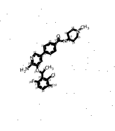 CC(Oc1cc(-c2ccc(C(=O)NC3CCN(C)CC3)cc2)cnc1N)c1c(F)ccc(F)c1Cl